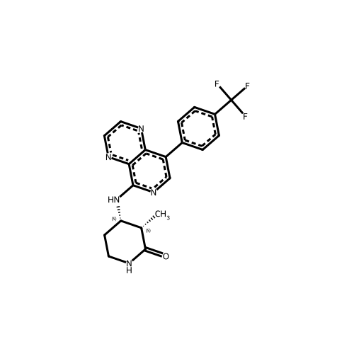 C[C@@H]1C(=O)NCC[C@@H]1Nc1ncc(-c2ccc(C(F)(F)F)cc2)c2nccnc12